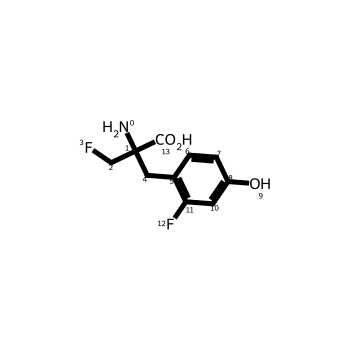 NC(CF)(Cc1ccc(O)cc1F)C(=O)O